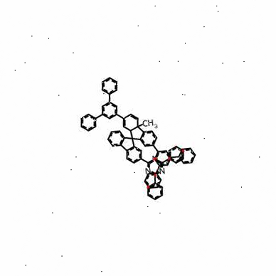 CC12C=CC(c3cc(-c4ccccc4)cc(-c4ccccc4)c3)=CC1C1(c3ccccc3-c3ccc(-c4nc(-c5ccccc5)nc(-c5ccccc5)n4)cc31)c1cc(-c3cc(-c4ccccc4)cc(-c4ccccc4)c3)ccc12